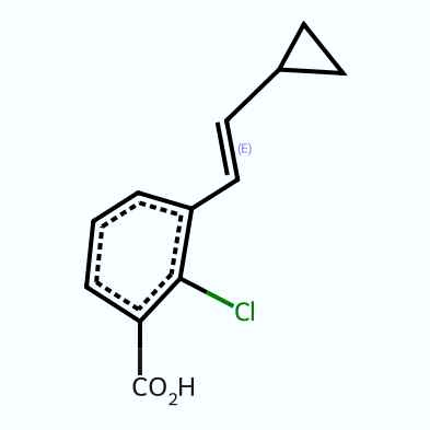 O=C(O)c1cccc(/C=C/C2CC2)c1Cl